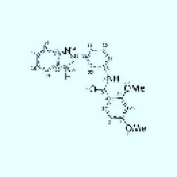 COc1ccc(C(=O)Nc2cccc(-c3nc4ncccc4[nH]3)c2)c(OC)c1